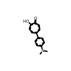 CN(C)c1ccc(-c2ccc(O)c(=O)cc2)cc1